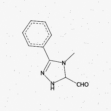 CN1C(c2ccccc2)=NNC1C=O